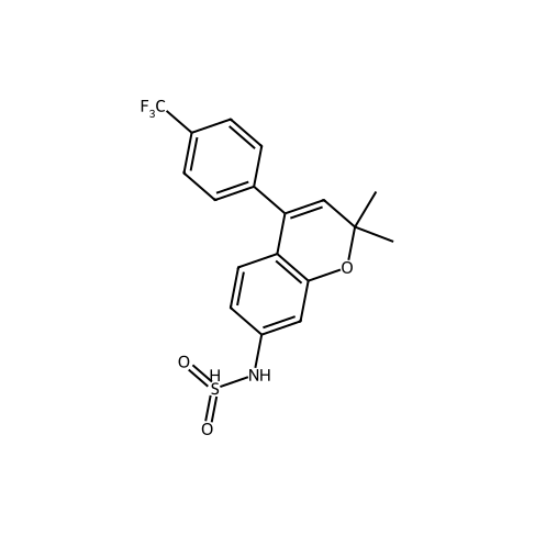 CC1(C)C=C(c2ccc(C(F)(F)F)cc2)c2ccc(N[SH](=O)=O)cc2O1